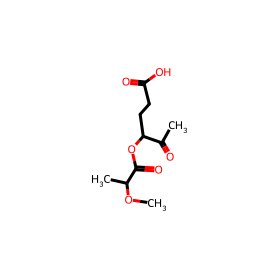 COC(C)C(=O)OC(CCC(=O)O)C(C)=O